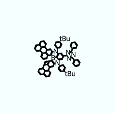 CC(C)(C)c1ccc(N2c3cc(-c4nc(-c5ccccc5)nc(-c5ccccc5)n4)cc4c3B(c3c2cc2c5cccc6cccc(c7cccc3c72)c65)c2c(cc3c5cccc6cccc(c7cccc2c73)c65)N4c2ccc(C(C)(C)C)cc2)cc1